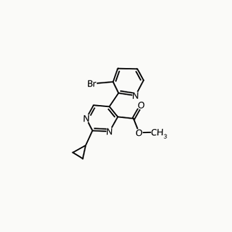 COC(=O)c1nc(C2CC2)ncc1-c1ncccc1Br